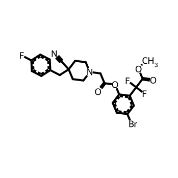 COC(=O)C(F)(F)c1cc(Br)ccc1OC(=O)CN1CCC(C#N)(Cc2ccc(F)cc2)CC1